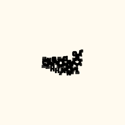 C=CC(=O)N1CCCC(n2nc(-c3ccc(C(=O)Nc4ccccn4)cc3Cl)c3c(N)ncc(CC)c32)C1